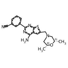 C[C@@H]1CN(Cc2cc3c(N)nc(-c4cccc(C#N)c4)nc3s2)C[C@H](C)O1